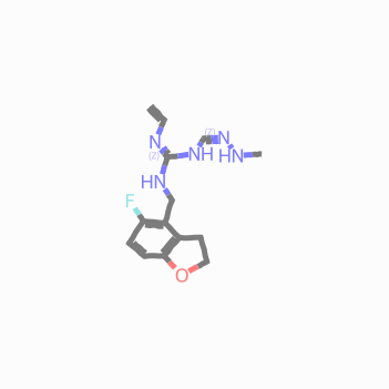 C=C/N=C(\N/C=N\NC)NCc1c(F)ccc2c1CCO2